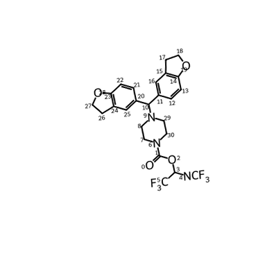 O=C(OC(NC(F)(F)F)C(F)(F)F)N1CCN(C(c2ccc3c(c2)CCO3)c2ccc3c(c2)CCO3)CC1